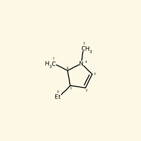 CCC1C=CN(C)C1C